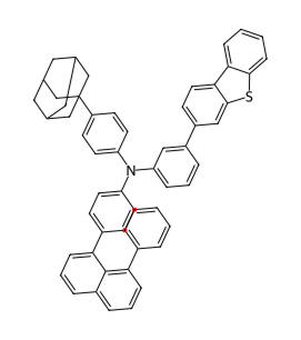 c1ccc(-c2cccc3cccc(-c4ccc(N(c5ccc(C67CC8CC(CC(C8)C6)C7)cc5)c5cccc(-c6ccc7c(c6)sc6ccccc67)c5)cc4)c23)cc1